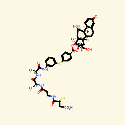 C[C@H](NC(=O)CCNC(=O)C(S)CC(=O)O)C(=O)N[C@@H](C)C(=O)Nc1cccc(Sc2ccc([C@@H]3O[C@@H]4C[C@H]5[C@@H]6CCC7=CC(=O)C=C[C@]7(C)[C@@]6(F)[C@@H](O)C[C@]5(C)[C@]4(C(=O)CO)O3)cc2)c1